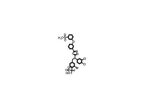 CS(=O)(=O)c1cccc(Oc2cccc(-c3nnc(N(Cc4ccc(C(F)(F)P(=O)(O)O)c(Br)c4)c4ccc(Cl)c(Cl)c4)s3)c2)c1